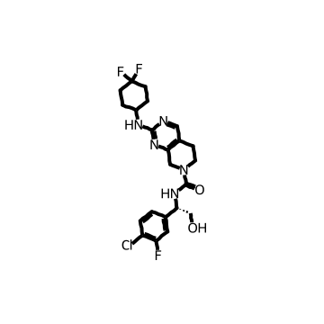 O=C(N[C@H](CO)c1ccc(Cl)c(F)c1)N1CCc2cnc(NC3CCC(F)(F)CC3)nc2C1